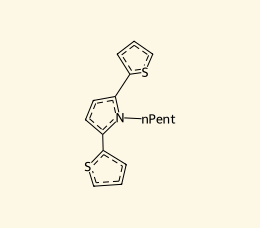 CCCCCn1c(-c2cccs2)ccc1-c1cccs1